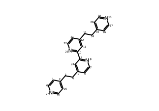 c1cc(CCc2ccnc(-c3cc(CCc4ccncc4)ccn3)c2)ccn1